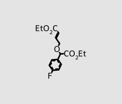 CCOC(=O)C=CCOC(C(=O)OCC)c1ccc(F)cc1